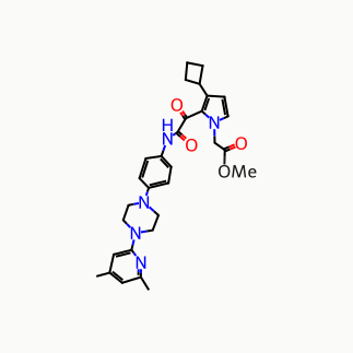 COC(=O)Cn1ccc(C2CCC2)c1C(=O)C(=O)Nc1ccc(N2CCN(c3cc(C)cc(C)n3)CC2)cc1